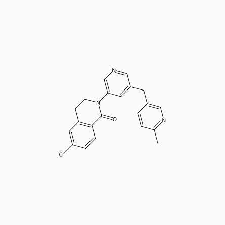 Cc1ccc(Cc2cncc(N3CCc4cc(Cl)ccc4C3=O)c2)cn1